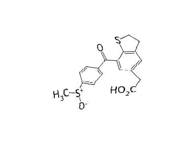 C[S+]([O-])c1ccc(C(=O)c2cc(CC(=O)O)cc3c2SCC3)cc1